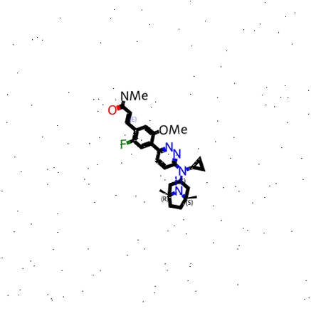 CNC(=O)/C=C/c1cc(OC)c(-c2ccc(N(C3CC3)[C@H]3C[C@]4(C)CC[C@](C)(C3)N4)nn2)cc1F